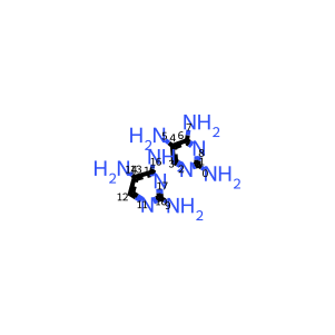 Nc1ncc(N)c(N)n1.Nc1ncc(N)c(N)n1